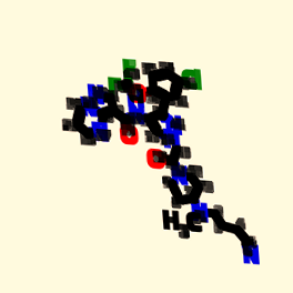 CN(CCCC#N)C1CCN(C(=O)Cn2cc(NC(=O)c3cnn4cccnc34)c(-c3cc(Cl)ccc3OC(F)F)n2)CC1